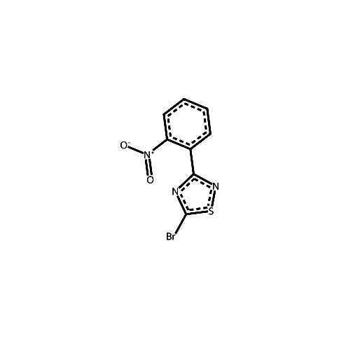 O=[N+]([O-])c1ccccc1-c1nsc(Br)n1